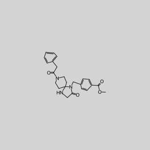 COC(=O)c1ccc(CN2C(=O)CNC23CCN(C(=O)Cc2ccccc2)CC3)cc1